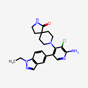 CCn1ncc2cc(-c3cnc(N)c(Cl)c3N3CCC4(CCNC4=O)CC3)ccc21